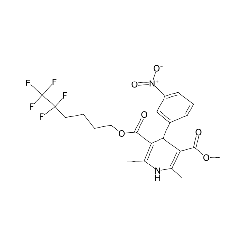 COC(=O)C1=C(C)NC(C)=C(C(=O)OCCCCC(F)(F)C(F)(F)F)C1c1cccc([N+](=O)[O-])c1